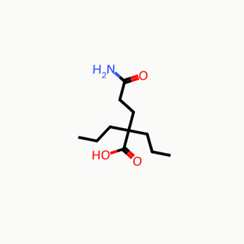 CCCC(CCC)(CCC(N)=O)C(=O)O